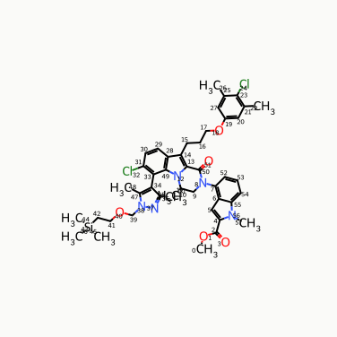 COC(=O)c1cc2c(N3C[C@@H](C)n4c(c(CCCOc5cc(C)c(Cl)c(C)c5)c5ccc(Cl)c(-c6c(C)nn(COCC[Si](C)(C)C)c6C)c54)C3=O)cccc2n1C